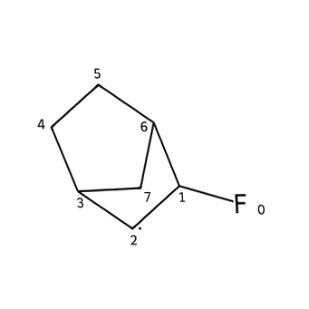 FC1[CH]C2CCC1C2